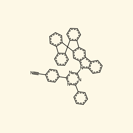 N#Cc1ccc(-c2nc(-c3ccccc3)nc(-n3c4ccccc4c4cc5c(cc43)C3(c4ccccc4-c4ccccc43)c3ccccc3-5)n2)cc1